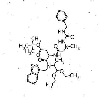 CCOC(OCC)[C@H](C)N(Cc1csc2ccccc12)C(=O)C(CC(=O)OC(C)(C)C)NC(=O)CN(C)NC(=O)NCc1ccccc1